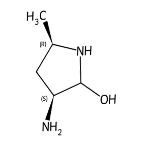 C[C@@H]1C[C@H](N)C(O)N1